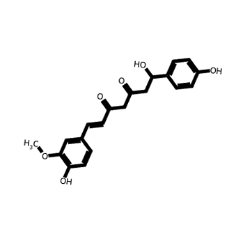 COc1cc(C=CC(=O)CC(=O)CC(O)c2ccc(O)cc2)ccc1O